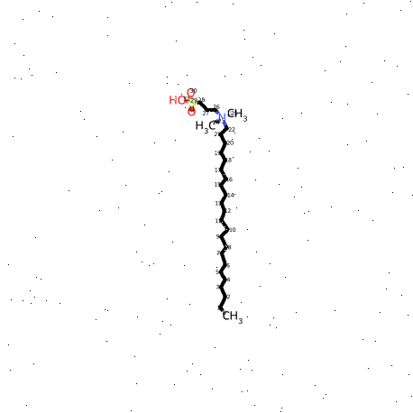 CCCCCCCCCCCCCCCCCCCCCCC[N+](C)(C)CCCS(=O)(=O)O